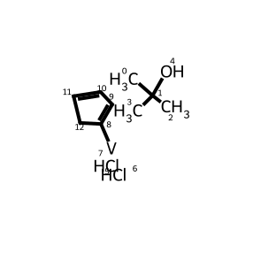 CC(C)(C)O.Cl.Cl.[V][C]1=CC=CC1